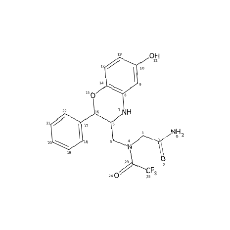 NC(=O)CN(CC1Nc2cc(O)ccc2OC1c1ccccc1)C(=O)C(F)(F)F